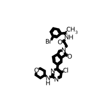 C[C@@H](NC(=O)CN1Cc2ccc(-c3nc(NC4CCOCC4)ncc3Cl)cc2C1=O)c1cccc(Br)c1